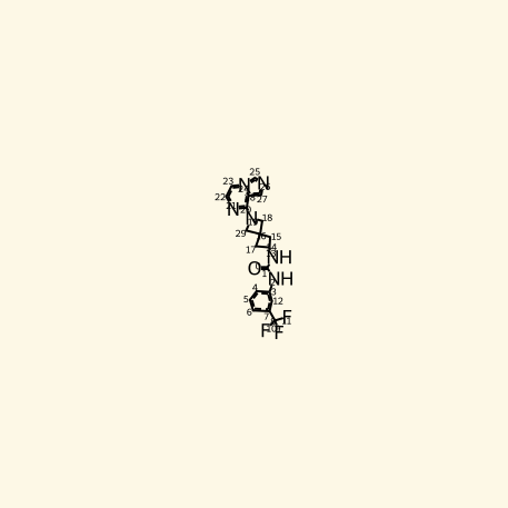 O=C(Nc1cccc(C(F)(F)F)c1)NC1CC2(C1)CN(c1nccn3cncc13)C2